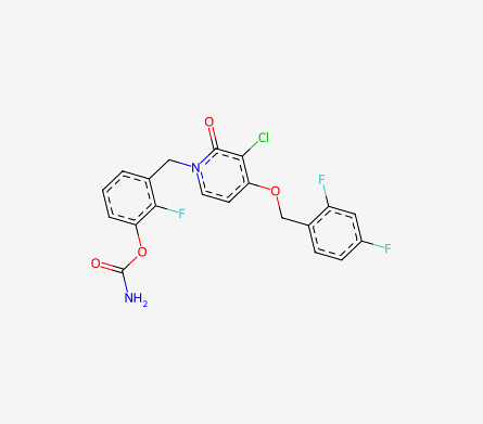 NC(=O)Oc1cccc(Cn2ccc(OCc3ccc(F)cc3F)c(Cl)c2=O)c1F